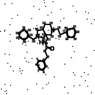 O=C(CCc1ccccc1)NCC12CN(CCc3ccccc3)CCC1CN(Cc1ccccc1)C2